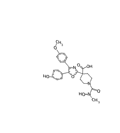 COc1ccc(-c2nc(C3(C(=O)O)CCN(C(=O)N(C)O)CC3)oc2-c2ccc(O)cc2)cc1